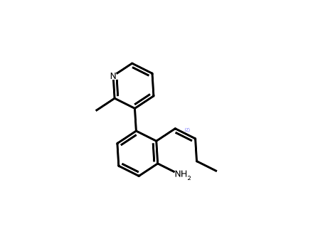 CC/C=C\c1c(N)cccc1-c1cccnc1C